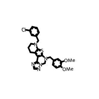 COc1ccc(CN2Cn3ncnc3-c3c2sc2c3CCCN2Cc2cccc(Cl)c2)cc1OC